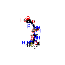 CC(C)(ON=C(C(=O)N[C@H]1CN(C(=O)NS(=O)(=O)NCCNC(=O)c2cc(=O)c(O)c[nH]2)C1=O)c1csc(N)n1)C(=O)O